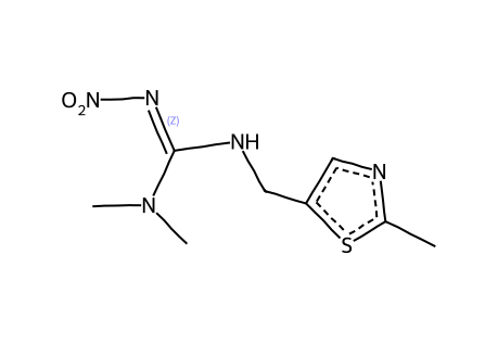 Cc1ncc(CN/C(=N/[N+](=O)[O-])N(C)C)s1